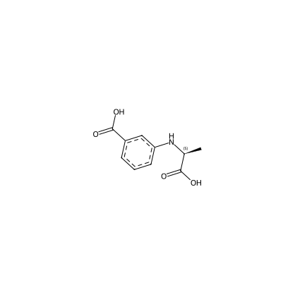 C[C@H](Nc1cccc(C(=O)O)c1)C(=O)O